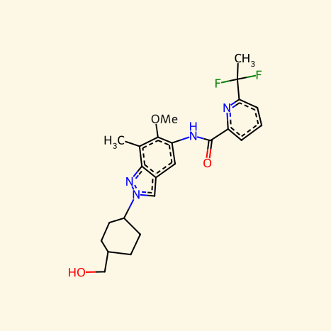 COc1c(NC(=O)c2cccc(C(C)(F)F)n2)cc2cn(C3CCC(CO)CC3)nc2c1C